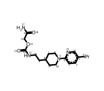 CC(C)c1ccc(N2CCC(CCNC(=O)OCC(N)=O)CC2)nc1